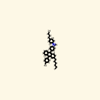 CCCCCCc1ccc2c(-c3ccc(N(C)c4ccc(CCCC)cc4)cc3)c3ccccc3c(-c3ccc(C)cc3)c2c1